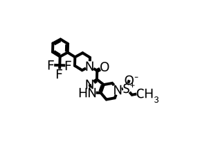 CC[S+]([O-])N1CCc2[nH]nc(C(=O)N3CCC(c4ccccc4C(F)(F)F)CC3)c2C1